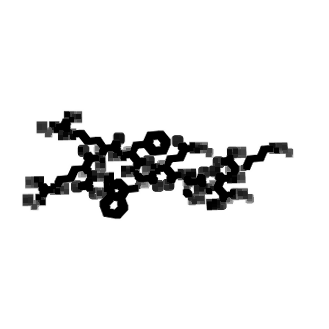 CC(=O)N[C@@H](CCCNC(=N)N)C(=O)N[C@@H](CCCNC(=N)N)C(=O)N[C@@H](Cc1ccccc1)C(=O)N[C@@H](Cc1c[nH]c2ccccc12)C(=O)N[C@@H](CCC(N)=O)C(=O)N[C@@H](CS)C(=O)N[C@H](C(=O)N[C@@H](CCCCN)C(=O)O)[C@@H](C)O